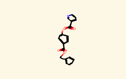 O=C(OCc1ccccc1)c1ccc(OC(=O)c2cccnc2)cc1